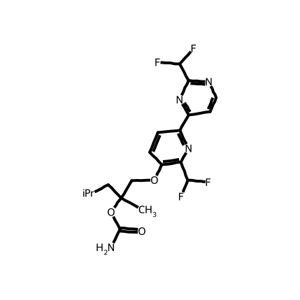 CC(C)CC(C)(COc1ccc(-c2ccnc(C(F)F)n2)nc1C(F)F)OC(N)=O